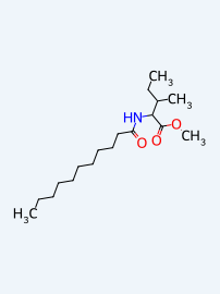 CCCCCCCCCCC(=O)NC(C(=O)OC)C(C)CC